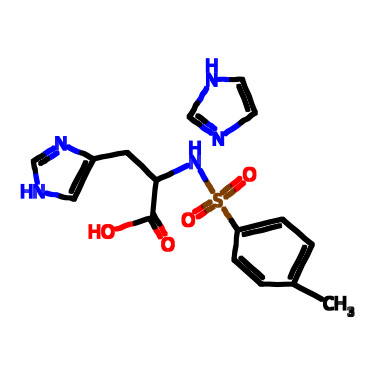 Cc1ccc(S(=O)(=O)NC(Cc2c[nH]cn2)C(=O)O)cc1.c1c[nH]cn1